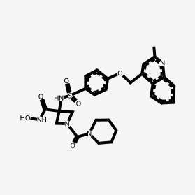 Cc1cc(COc2ccc(S(=O)(=O)NC3(C(=O)NO)CN(C(=O)N4CCCCC4)C3)cc2)c2ccccc2n1